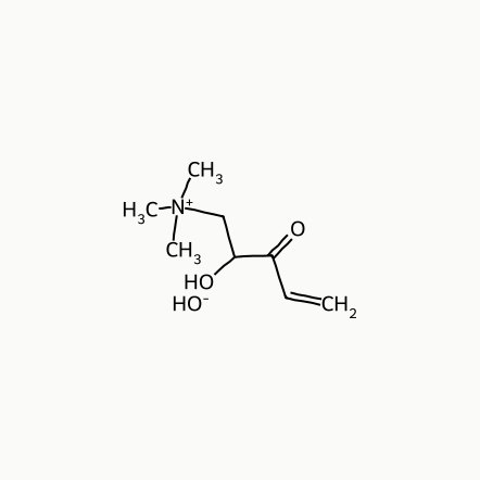 C=CC(=O)C(O)C[N+](C)(C)C.[OH-]